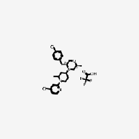 CC1CC(N2C[C@H](C)OC[C@@H]2Cc2ccc(Cl)cc2)CCN1c1cc(Cl)ccn1.O=C(O)C(F)(F)F